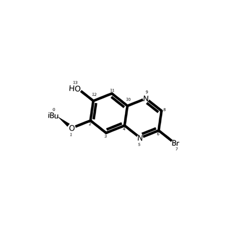 CC[C@H](C)Oc1cc2nc(Br)cnc2cc1O